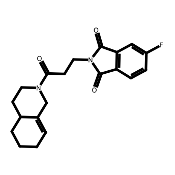 O=C(CCN1C(=O)c2ccc(F)cc2C1=O)N1CCC2CCCC=C2C1